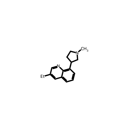 CCc1cnc2c(C3CCN(C)C3)cccc2c1